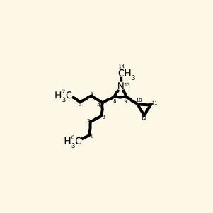 CCCCC(CCC)C1C(C2CC2)N1C